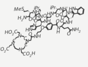 CSCC[C@H](NC(=O)[C@H](CC(C)C)NC(=O)[C@H](Cc1c[nH]cn1)NC(=O)CNC(=O)[C@@H](NC(=O)[C@H](C)NC(=O)[C@H](Cc1c[nH]c2ccccc12)NC(=O)C(CCC(N)=O)NC(=O)c1ccc(OCCNC(=O)CN2CCN(CC(=O)O)CCN(CC(=O)O)CCN(CC(=O)O)CC2)cc1)C(C)C)C(N)=O